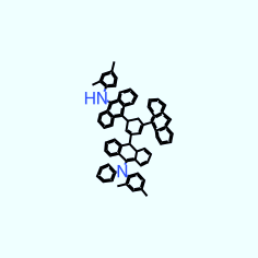 Cc1ccc(Nc2c3ccccc3c(C3C=C(C4c5ccccc5C(N(c5ccccc5)c5ccc(C)cc5C)=C5C=CC=CC54)C=C(c4c5ccccc5cc5ccccc45)C3)c3ccccc23)c(C)c1